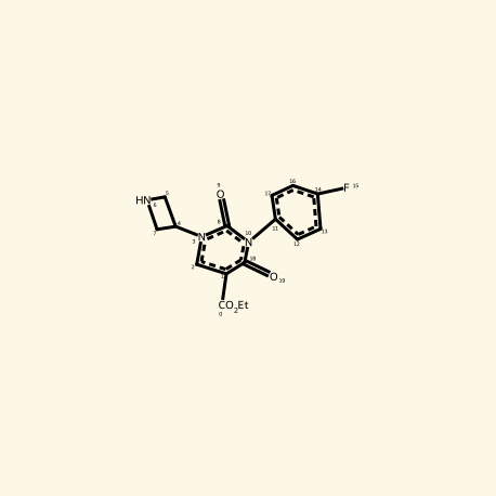 CCOC(=O)c1cn(C2CNC2)c(=O)n(-c2ccc(F)cc2)c1=O